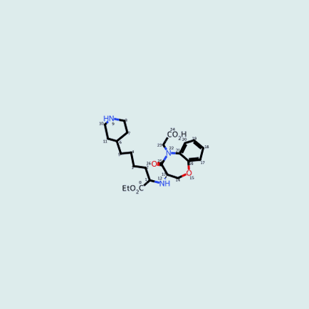 CCOC(=O)C(CCCCC1CCNCC1)N[C@H]1COc2ccccc2N(CC(=O)O)C1=O